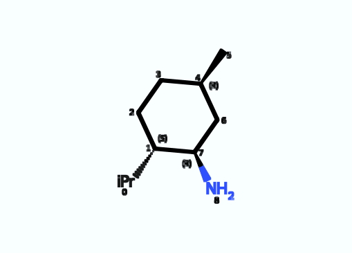 CC(C)[C@@H]1CC[C@@H](C)C[C@H]1N